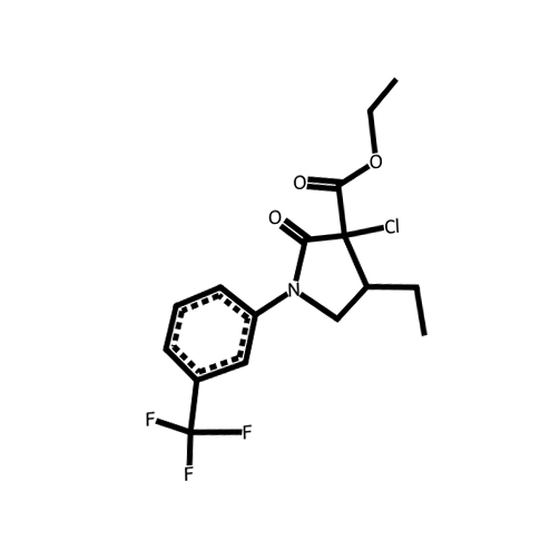 CCOC(=O)C1(Cl)C(=O)N(c2cccc(C(F)(F)F)c2)CC1CC